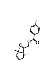 Cc1ccc(C(=O)OCC(=O)[C@@]2(C)CC=CC2(C)C)cc1